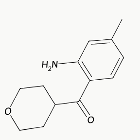 Cc1ccc(C(=O)C2CCOCC2)c(N)c1